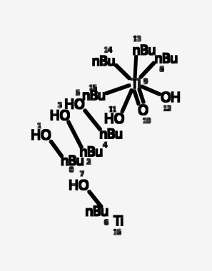 CCCCO.CCCCO.CCCCO.CCCCO.CCC[CH2][Ti](=[O])([OH])([OH])([CH2]CCC)([CH2]CCC)[CH2]CCC.[Ti]